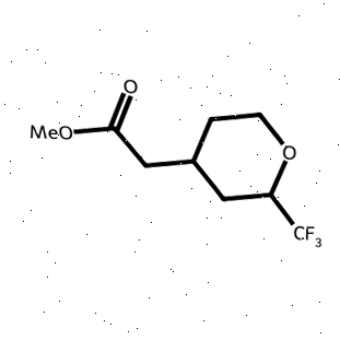 COC(=O)CC1CCOC(C(F)(F)F)C1